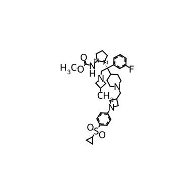 COC(=O)N[C@H]1CCC[C@@H]1C(CN1CC(C)C1)(c1cccc(F)c1)C1CCN(CC2CN(c3ccc(S(=O)(=O)C4CC4)cc3)C2)CC1